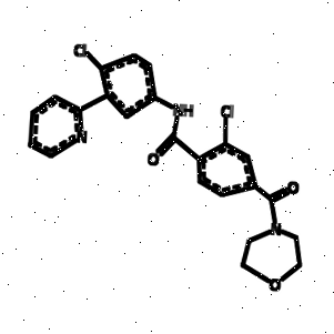 O=C(Nc1ccc(Cl)c(-c2ccccn2)c1)c1ccc(C(=O)N2CCOCC2)cc1Cl